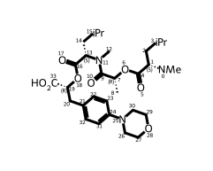 CN[C@@H](CC(C)C)C(=O)O[C@H](C)C(=O)N(C)[C@@H](CC(C)C)C(=O)O[C@H](Cc1ccc(N2CCOCC2)cc1)C(=O)O